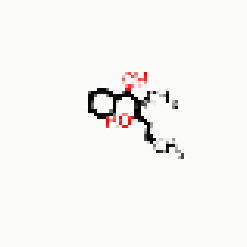 C=CC[C@H](O)[C@H](C)C(O)C1CCCCC1